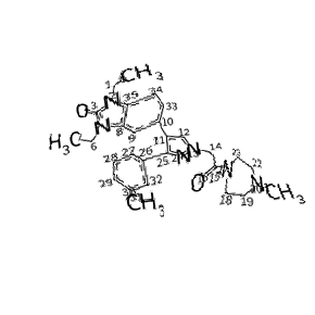 CCn1c(=O)n(CC)c2cc(-c3cn(CC(=O)N4CCN(C)CC4)nc3-c3cccc(C)c3)ccc21